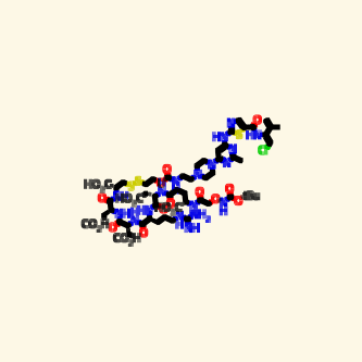 C=C(C)/C(=C/Cl)NC(=O)c1cnc(Nc2cc(N3CCN(CCNC(=O)OCCSSC[C@H](NC(=O)[C@H](CC(=O)O)NC(=O)[C@H](CC(=O)O)NC(=O)[C@H](CCCNC(=N)N)NC(=O)[C@H](CC(=O)O)NC(=O)CC[C@H](NC(=O)CONC(=O)OC(C)(C)C)C(=O)O)C(=O)O)CC3)nc(C)n2)s1